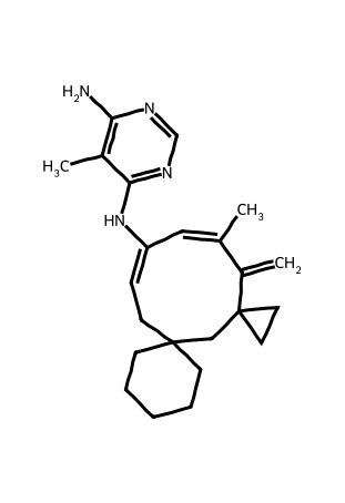 C=C1/C(C)=C\C(Nc2ncnc(N)c2C)=C/CC2(CCCCC2)CC12CC2